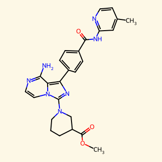 COC(=O)C1CCCN(c2nc(-c3ccc(C(=O)Nc4cc(C)ccn4)cc3)c3c(N)nccn23)C1